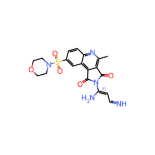 Cc1nc2ccc(S(=O)(=O)N3CCOCC3)cc2c2c1C(=O)N(/C(N)=C/C=N)C2=O